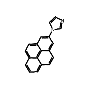 c1cc2ccc3cc(-n4ccnc4)cc4ccc(c1)c2c34